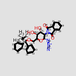 CC(C)(C)[Si](OCC1O[C@@H](N=[N+]=[N-])C(N2C(=O)c3ccccc3C2=O)[C@@H](O)[C@@H]1O)(c1ccccc1)c1ccccc1